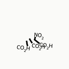 CC(=O)O.CC(=O)O.O=C(O)C[N+](=O)[O-]